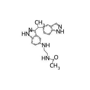 CC(=O)NCCNc1ccc2[nH]nc(C(C)c3ccc4[nH]ncc4c3)c2c1